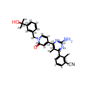 Cc1c(C#N)cccc1-c1nc(N)nc(-c2ccn(Cc3cccc(C(C)(C)O)c3)c(=O)c2)c1C